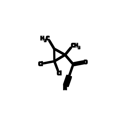 CC1C(Cl)(Cl)C1(C)C(=O)C#N